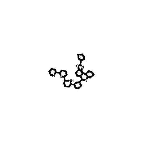 C1=CC(c2cccc(-c3ccccn3)n2)NC(c2cccc(-c3nc4ccccc4c4c3ccc3oc(-c5ccccc5)nc34)c2)=C1